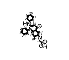 Cc1nc2c(cc1NCC(=O)O)c(=O)cc(Nc1ccccc1)n2-c1ccccc1